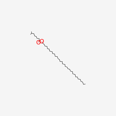 CCCCCCCCCCCCCCCCCCCCCCCCCCCCCCCCCCOC(=O)CCCCCC(C)C